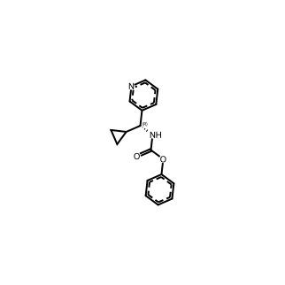 O=C(N[C@@H](c1cccnc1)C1CC1)Oc1ccccc1